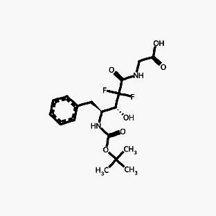 CC(C)(C)OC(=O)N[C@@H](Cc1ccccc1)[C@@H](O)C(F)(F)C(=O)NCC(=O)O